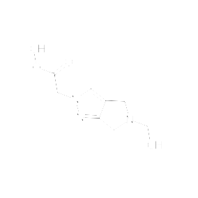 CCN1Cc2cn(CC(=O)OC)nc2C1